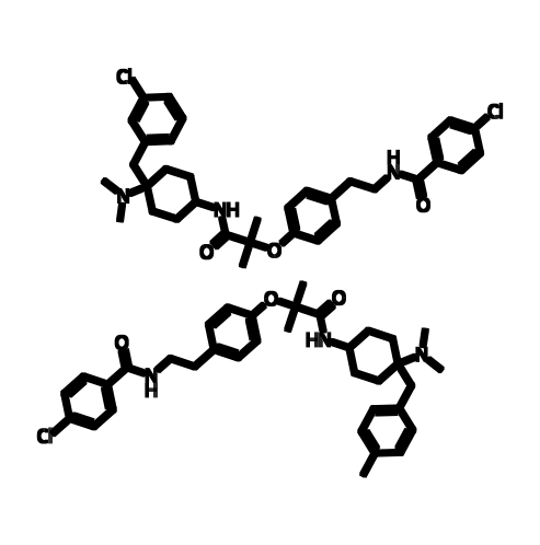 CN(C)C1(Cc2cccc(Cl)c2)CCC(NC(=O)C(C)(C)Oc2ccc(CCNC(=O)c3ccc(Cl)cc3)cc2)CC1.Cc1ccc(CC2(N(C)C)CCC(NC(=O)C(C)(C)Oc3ccc(CCNC(=O)c4ccc(Cl)cc4)cc3)CC2)cc1